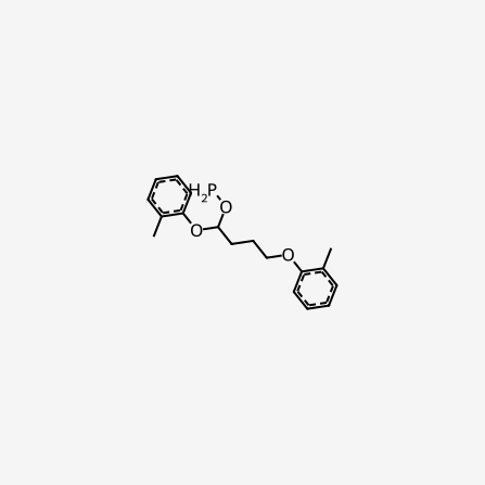 Cc1ccccc1OCCCC(OP)Oc1ccccc1C